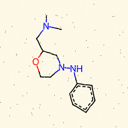 CN(C)CC1CN(Nc2ccccc2)CCO1